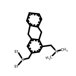 CCN(CC)Cc1cc2c(c(CN(C)C)c1)Cc1ccccc1C2